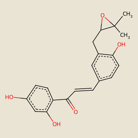 CC1(C)OC1Cc1cc(C=CC(=O)c2ccc(O)cc2O)ccc1O